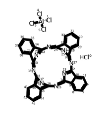 Cl.[Cl][Al-]([Cl])([Cl])[Cl].c1ccc2c(c1)-c1nc-2nc2[nH]c(nc3nc(nc4[nH]c(n1)c1ccccc41)-c1ccccc1-3)c1ccccc21